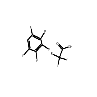 Fc1cc(F)c(F)c(F)c1F.O=C(O)C(F)(F)F